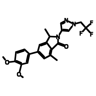 COc1ccc(-c2cc(C)c3c(c2)C(C)N(c2cnn(CC(F)(F)F)c2)C3=O)cc1OC